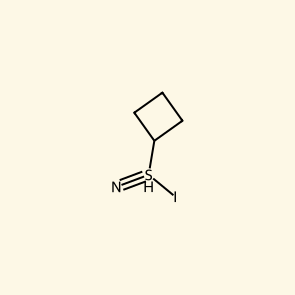 N#[SH](I)C1CCC1